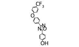 Oc1ccc(-c2nc(-c3ccc(Oc4ccc(C(F)(F)F)cc4)cc3)no2)cc1